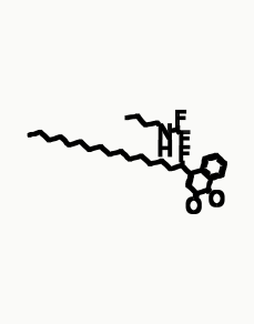 CCCCCCCCCCCCCCCC(F)C1=CC(=O)C(=O)c2ccccc21.CCCCNC(F)F